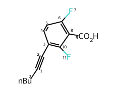 CCCCC#Cc1ccc(F)c(C(=O)O)c1F